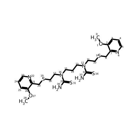 COc1cccnc1CSCCN(CCCN(CCSCc1ncccc1OC)C(N)=S)C(N)=S